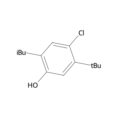 CCC(C)c1cc(Cl)c(C(C)(C)C)cc1O